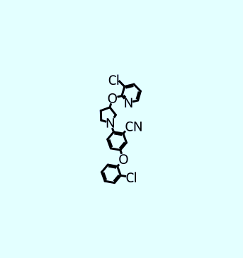 N#Cc1cc(Oc2ccccc2Cl)ccc1N1CCC(Oc2ncccc2Cl)C1